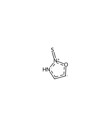 S=[n+]1[nH]c[c]o1